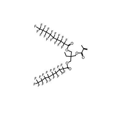 C=C(C)C(=O)OCC(CC)(COC(=O)C(F)(F)C(F)(F)C(F)(F)C(F)(F)C(F)(F)C(F)(F)C(F)(F)C(F)(F)F)COC(=O)C(F)(F)C(F)(F)C(F)(F)C(F)(F)C(F)(F)C(F)(F)C(F)(F)C(F)(F)F